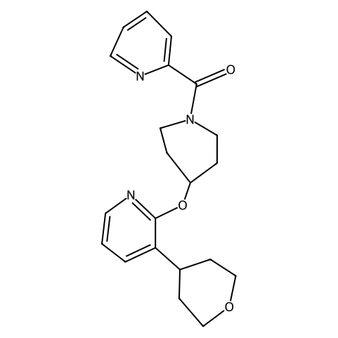 O=C(c1ccccn1)N1CCC(Oc2ncccc2C2CCOCC2)CC1